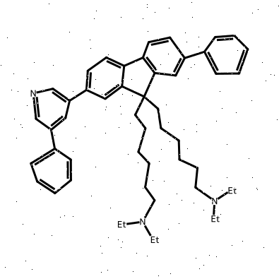 CCN(CC)CCCCCCC1(CCCCCCN(CC)CC)c2cc(-c3ccccc3)ccc2-c2ccc(-c3cncc(-c4ccccc4)c3)cc21